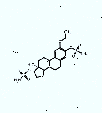 CCOc1cc2c(cc1OS(N)(=O)=O)CCC1C2CC[C@@]2(C)C1CC[C@@H]2OS(N)(=O)=O